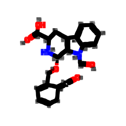 O=C=C1CC=CC=C1CO[C@@H]1NC(C(=O)O)Cc2c1n(C=O)c1ccccc21